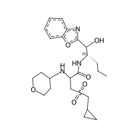 CCC[C@H](NC(=O)C(CS(=O)(=O)CC1CC1)NC1CCOCC1)C(O)c1nc2ccccc2o1